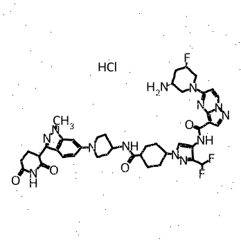 Cl.Cn1nc(C2CCC(=O)NC2=O)c2ccc(N3CCC(NC(=O)C4CCC(n5cc(NC(=O)c6cnn7ccc(N8C[C@H](N)C[C@@H](F)C8)nc67)c(C(F)F)n5)CC4)CC3)cc21